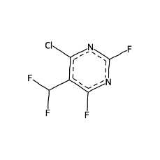 Fc1nc(F)c(C(F)F)c(Cl)n1